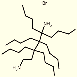 Br.CCCCC(N)(CCCC)C(CCCC)(CCCC)C(CCN)(CCCC)CCCC